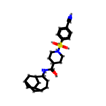 N#Cc1ccc(S(=O)(=O)N2CCC(C(=O)NC3CCC4CC5CC4CC3C5)CC2)cc1